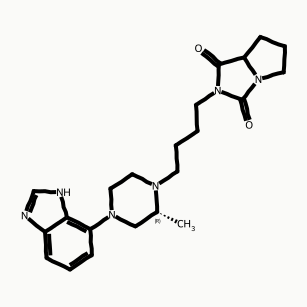 C[C@@H]1CN(c2cccc3nc[nH]c23)CCN1CCCCN1C(=O)C2CCCN2C1=O